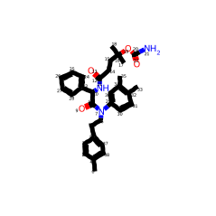 Cc1ccc(CCN(C(=O)C(NC(=O)CCC(C)(C)OC(N)=O)c2ccccc2)c2ccc(C)c(C)c2)cc1